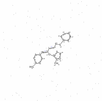 Cc1ccc(/N=C(/C=C/SSc2ccccc2)Oc2ccoc2C)cc1